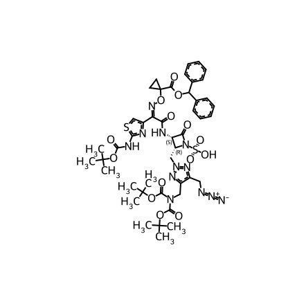 CC(C)(C)OC(=O)Nc1nc(C(=NOC2(C(=O)OC(c3ccccc3)c3ccccc3)CC2)C(=O)N[C@@H]2C(=O)N(S(=O)(=O)O)[C@@H]2Cn2nc(CN=[N+]=[N-])c(CN(C(=O)OC(C)(C)C)C(=O)OC(C)(C)C)n2)cs1